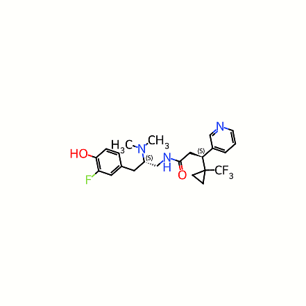 CN(C)[C@H](CNC(=O)C[C@@H](c1cccnc1)C1(C(F)(F)F)CC1)Cc1ccc(O)c(F)c1